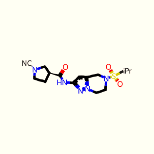 CC(C)S(=O)(=O)N1CCn2nc(NC(=O)[C@H]3CCN(C#N)C3)cc2C1